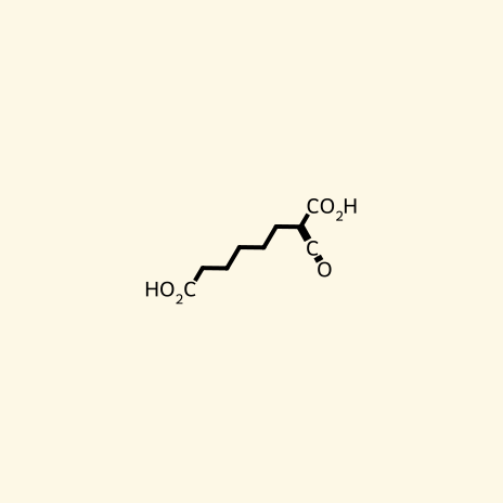 O=C=C(CCCCCC(=O)O)C(=O)O